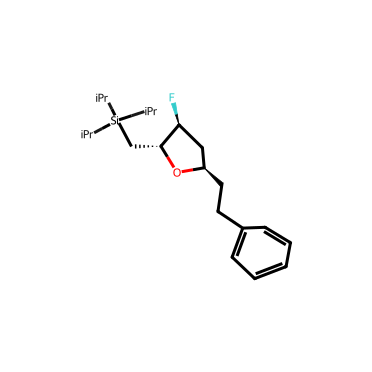 CC(C)[Si](C[C@H]1O[C@H](CCc2ccccc2)C[C@@H]1F)(C(C)C)C(C)C